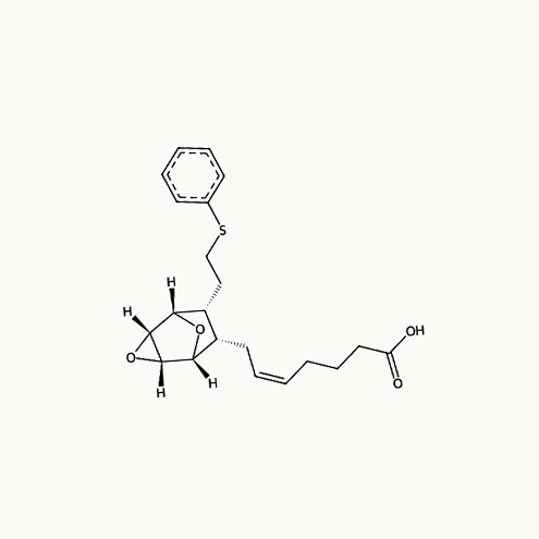 O=C(O)CCC/C=C\C[C@H]1[C@@H](CCSc2ccccc2)[C@@H]2O[C@H]1[C@@H]1O[C@@H]12